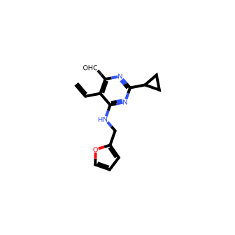 C=Cc1c(C=O)nc(C2CC2)nc1NCc1ccco1